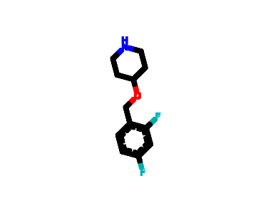 Fc1ccc(COC2CCNCC2)c(F)c1